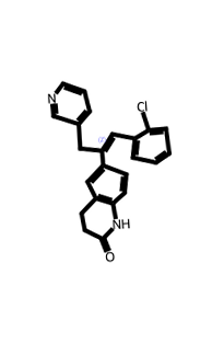 O=C1CCc2cc(/C(=C\c3ccccc3Cl)Cc3cccnc3)ccc2N1